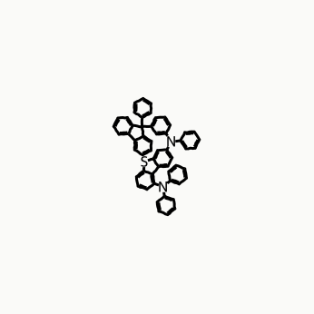 c1ccc(N(c2cccc(C3(c4ccccc4)c4ccccc4-c4ccccc43)c2)c2ccc3c(c2)sc2cccc(N(c4ccccc4)c4ccccc4)c23)cc1